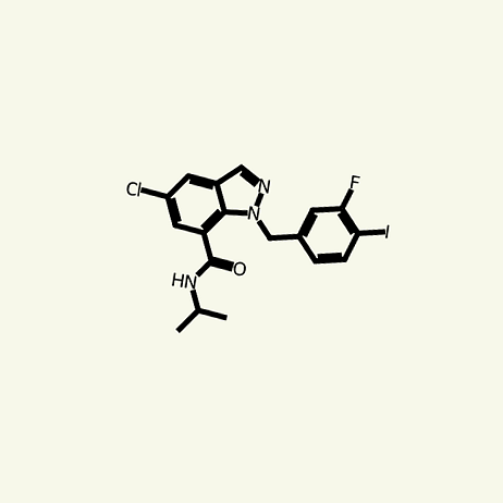 CC(C)NC(=O)c1cc(Cl)cc2cnn(Cc3ccc(I)c(F)c3)c12